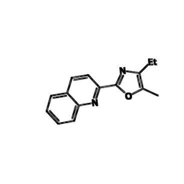 CCc1nc(-c2ccc3ccccc3n2)oc1C